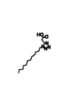 CCCCCCCCCCCCn1nnnc1CC(=O)O